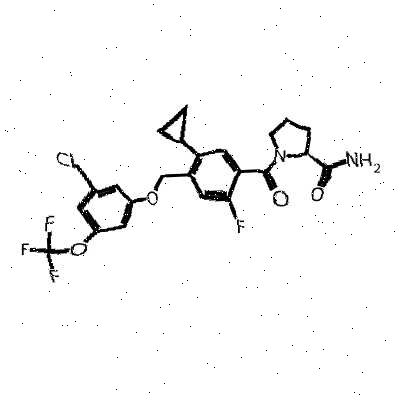 NC(=O)[C@@H]1CCCN1C(=O)c1cc(C2CC2)c(COc2cc(Cl)cc(OC(F)(F)F)c2)cc1F